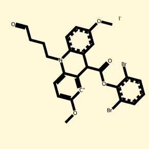 COC1=CC=C2C(=[C+]1)C(C(=O)Oc1c(Br)cccc1Br)c1cc(OC)ccc1N2CCCC=O.[I-]